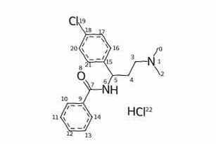 CN(C)CCC(NC(=O)c1ccccc1)c1ccc(Cl)cc1.Cl